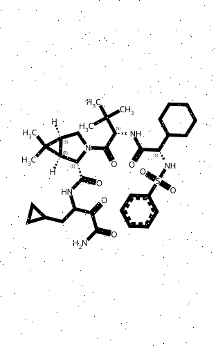 CC(C)(C)[C@H](NC(=O)[C@@H](NS(=O)(=O)c1ccccc1)C1CCCCC1)C(=O)N1C[C@H]2[C@@H]([C@H]1C(=O)NC(CC1CC1)C(=O)C(N)=O)C2(C)C